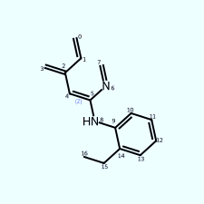 C=CC(=C)/C=C(\N=C)Nc1ccccc1CC